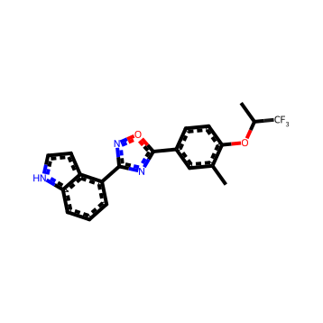 Cc1cc(-c2nc(-c3cccc4[nH]ccc34)no2)ccc1OC(C)C(F)(F)F